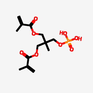 C=C(C)C(=O)OCC(C)(COC(=O)C(=C)C)COP(=O)(O)O